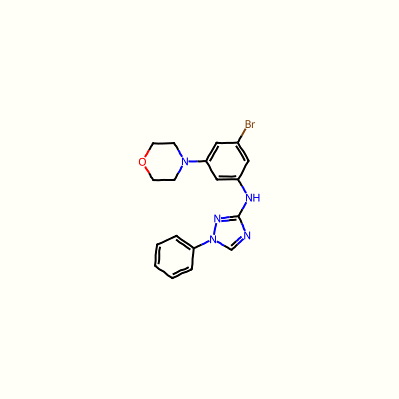 Brc1cc(Nc2ncn(-c3ccccc3)n2)cc(N2CCOCC2)c1